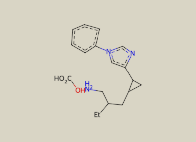 CCC(CN)CC1CC1c1cn(-c2ccccc2)cn1.O=C(O)O